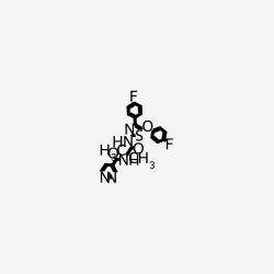 CC(C)(NC(=O)c1ccnnc1)C(=O)Nc1nc(-c2ccc(F)cc2)c(Oc2ccc(F)cc2)s1